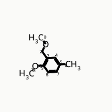 COCc1cc(C)ccc1OC